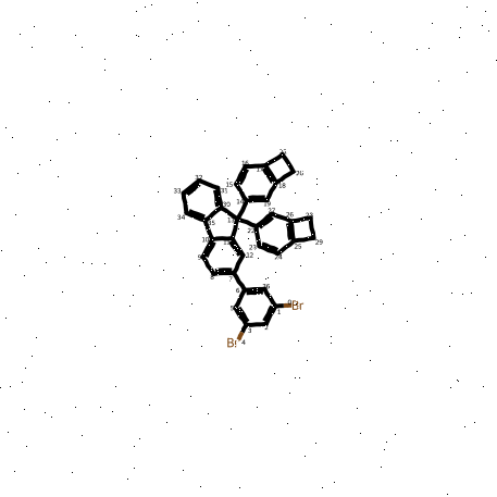 Brc1cc(Br)cc(-c2ccc3c(c2)C(c2ccc4c(c2)CC4)(c2ccc4c(c2)CC4)c2ccccc2-3)c1